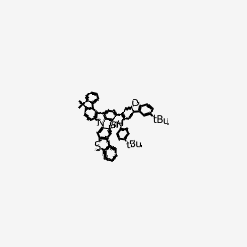 CC(C)(C)c1ccc(Nc2cc3c(cc2-c2ccc4c5c6c(ccc5n5c4c2Bc2cc4c(cc2-5)sc2ccccc24)C(C)(C)c2ccccc2-6)oc2ccc(C(C)(C)C)cc23)cc1